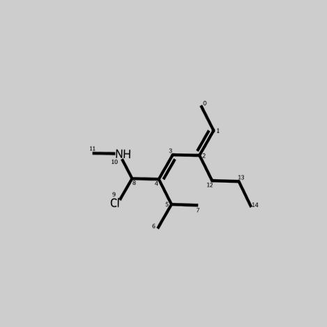 C/C=C(\C=C(/C(C)C)C(Cl)NC)CCC